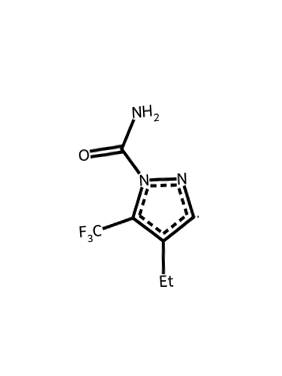 CCc1[c]nn(C(N)=O)c1C(F)(F)F